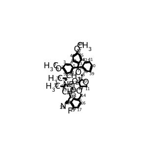 COc1ccc(C(OC[C@H]2OC[C@H](OCc3ccc(F)cc3)[C@@H]2OP(OCCC#N)N(C(C)C)C(C)C)(c2ccccc2)c2ccc(OC)cc2)cc1